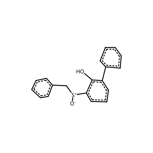 [O-][S+](Cc1ccccc1)c1cccc(-c2ccccc2)c1O